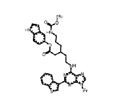 CC(C)n1cnc2c(NCCC(CCCNC(=O)OC(C)(C)C)CC(=O)Oc3ccc4[nH]ccc4c3)nc(-c3csc4ccccc34)nc21